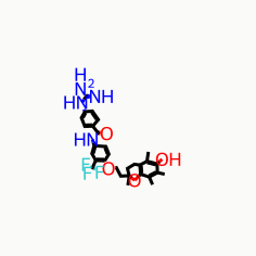 Cc1c(C)c2c(c(C)c1O)CCC(C)(CCOc1ccc(NC(=O)c3ccc(NC(=N)N)cc3)cc1C(F)(F)F)O2